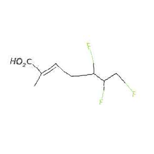 CC(=CCC(F)C(F)CF)C(=O)O